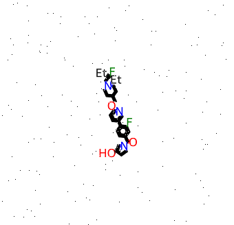 CCC(F)(CC)CN1CCC(COc2ccc(-c3ccc(C(=O)N4CC[C@@H](O)C4)cc3F)cn2)CC1